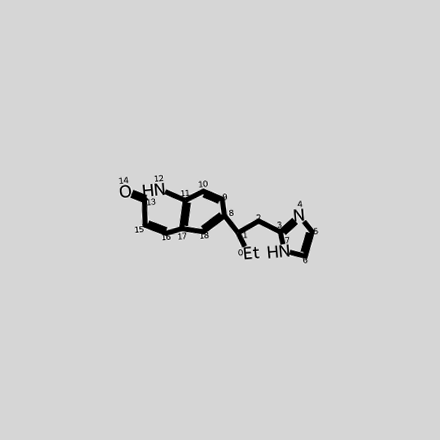 CCC(Cc1ncc[nH]1)c1ccc2[nH]c(=O)ccc2c1